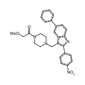 COCC(=O)N1CCN(Cc2c(-c3ccc([N+](=O)[O-])cc3)nc3ccc(-c4ccccc4)cn23)CC1